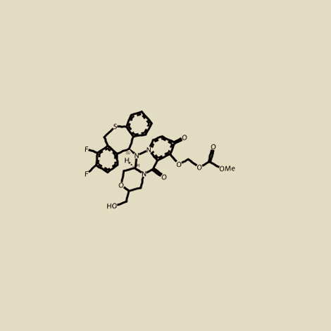 COC(=O)OCOc1c2n(ccc1=O)N([C@@H]1c3ccccc3SCc3c1ccc(F)c3F)[C@@H]1COC(CO)CN1C2=O